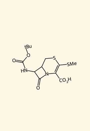 CSC1=C(C(=O)O)N2C(=O)C(NC(=O)OC(C)(C)C)C2CS1